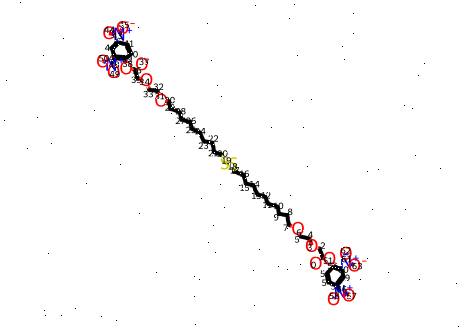 O=C(COCCOCCCCCCCCCCCSSCCCCCCCCCCCOCCOCC(=O)Oc1ccc([N+](=O)[O-])cc1[N+](=O)[O-])Oc1ccc([N+](=O)[O-])cc1[N+](=O)[O-]